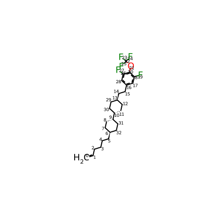 C=CCCCC[C@H]1CC[C@H]([C@H]2CC[C@H](CCc3cc(F)c(OC(F)(F)F)c(F)c3)CC2)CC1